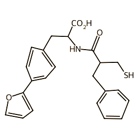 O=C(NC(Cc1ccc(-c2ccco2)cc1)C(=O)O)C(CS)Cc1ccccc1